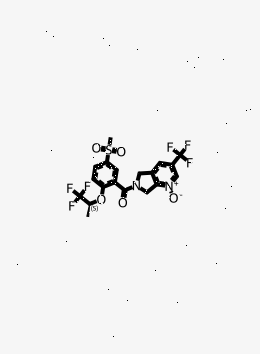 C[C@H](Oc1ccc(S(C)(=O)=O)cc1C(=O)N1Cc2cc(C(F)(F)F)c[n+]([O-])c2C1)C(F)(F)F